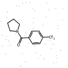 O=C(c1ccc(C(F)(F)F)cc1)N1CCCC1